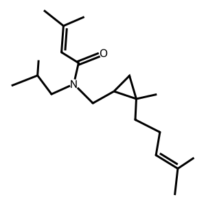 CC(C)=CCCC1(C)CC1CN(CC(C)C)C(=O)C=C(C)C